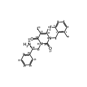 Cc1cccc(F)c1Cn1c(C)c(I)c(=O)n(C[C@H](N)c2ccccc2)c1=O